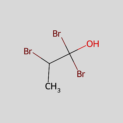 CC(Br)C(O)(Br)Br